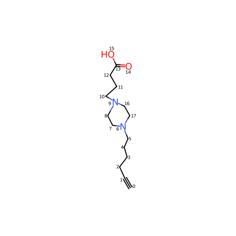 C#CCCCCN1CCN(CCCC(=O)O)CC1